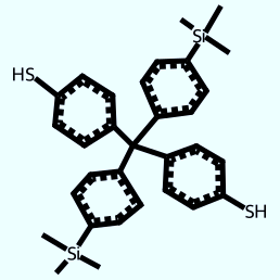 C[Si](C)(C)c1ccc(C(c2ccc(S)cc2)(c2ccc(S)cc2)c2ccc([Si](C)(C)C)cc2)cc1